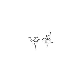 CCO[Si](C=CCC[Si](OCC)(OCC)OCC)(OCC)OCC